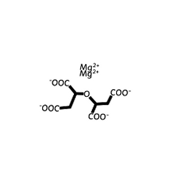 O=C([O-])CC(OC(CC(=O)[O-])C(=O)[O-])C(=O)[O-].[Mg+2].[Mg+2]